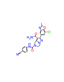 Cc1nc2cc(-c3nn4c(c3C(N)=O)CN(C(=O)Nc3ccc(C#N)cc3)CC4)cc(Cl)c2o1